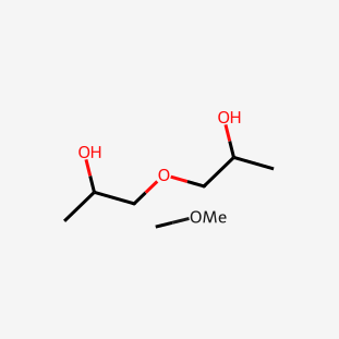 CC(O)COCC(C)O.COC